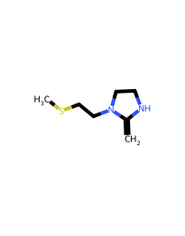 C=C1NCCN1CCSC